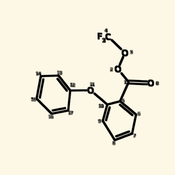 O=C(OOC(F)(F)F)c1ccccc1Oc1ccccc1